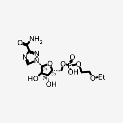 CCOCCOP(=O)(O)OC[C@H]1O[C@@H](n2cnc(C(N)=O)n2)C(O)[C@H]1O